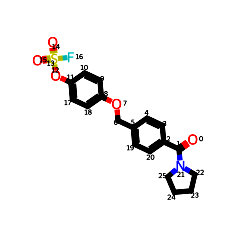 O=C(c1ccc(COc2ccc(OS(=O)(=O)F)cc2)cc1)N1CCCC1